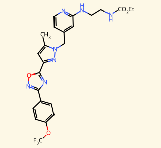 CCOC(=O)NCCNc1cc(Cn2nc(-c3nc(-c4ccc(OC(F)(F)F)cc4)no3)cc2C)ccn1